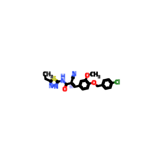 CCc1nnc(NC(=O)/C(C#N)=C/c2ccc(OCc3ccc(Cl)cc3)c(OC)c2)s1